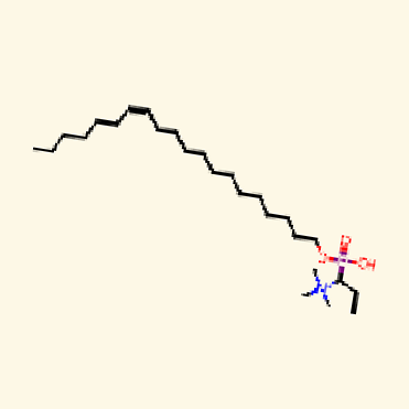 CCCCCC/C=C\CCCCCCCCCCCCOP(=O)(O)C(CC)[N+](C)(C)C